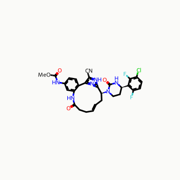 COC(=O)Nc1ccc2c(c1)NC(=O)CC/C=C/C[C@H](N1CC[C@H](c3c(F)ccc(Cl)c3F)NC1=O)c1nc-2c(C#N)[nH]1